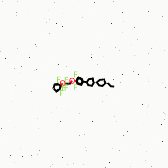 CCC[C@H]1CC[C@H](C2CCC(c3cc(F)c(OCC(F)(F)OC4(F)C(F)=CCC=C4F)c(F)c3)CC2)CC1